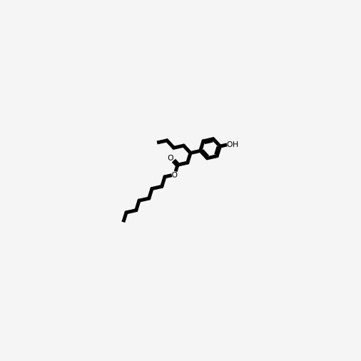 CCCCCCCCOC(=O)CC(CCCC)c1ccc(O)cc1